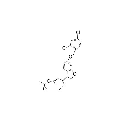 CCC(CSOC(C)=O)[C@@H]1COc2cc(OCc3ccc(Cl)cc3Cl)ccc21